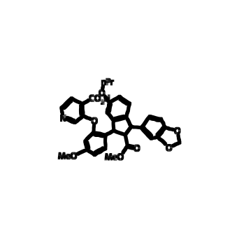 CCCOc1ccc2c(c1)C(c1ccc(OC)cc1Oc1cnccc1C(=O)O)C(C(=O)OC)C2c1ccc2c(c1)OCO2